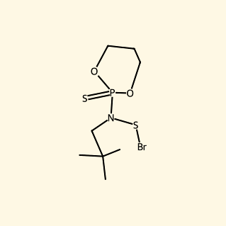 CC(C)(C)CN(SBr)P1(=S)OCCCO1